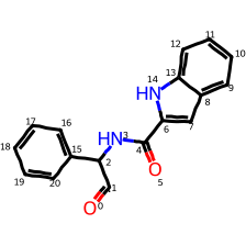 O=[C]C(NC(=O)c1cc2ccccc2[nH]1)c1ccccc1